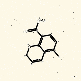 COC(=O)c1ccc(F)c2c1OCC=C2